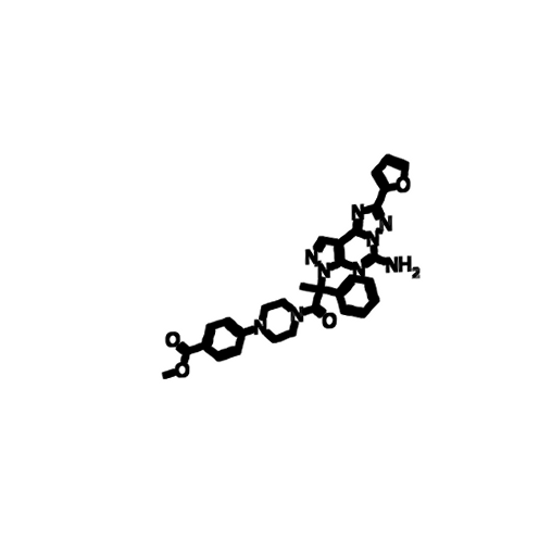 COC(=O)c1ccc(N2CCN(C(=O)C(C)(c3ccccc3)n3ncc4c3nc(N)n3nc(-c5ccco5)nc43)CC2)cc1